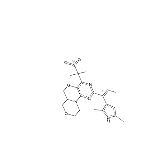 C/C=C(/c1nc2c(c(C(C)(C)[SH](=O)=O)n1)OCC1COCCN21)c1cc(C)[nH]c1C